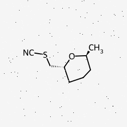 C[C@H]1CCC[C@H](CSC#N)O1